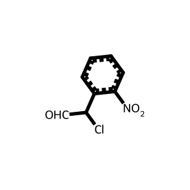 O=CC(Cl)c1ccccc1[N+](=O)[O-]